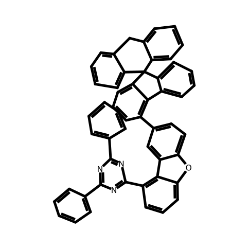 c1ccc(-c2nc(-c3ccccc3)nc(-c3cccc4oc5ccc(-c6cccc7c6-c6ccccc6C76c7ccccc7Cc7ccccc76)cc5c34)n2)cc1